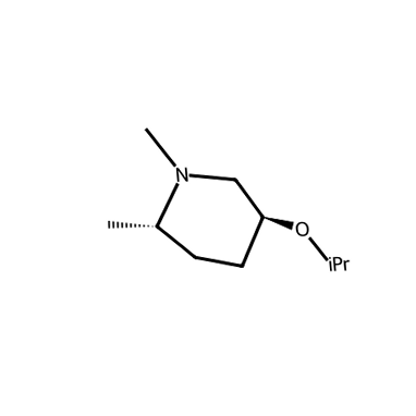 CC(C)O[C@H]1CC[C@H](C)N(C)C1